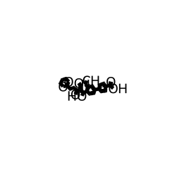 Cn1c(=O)c(C(=O)CCC2OCCCO2)c(O)c2ccc(-c3ccc(C(=O)O)cc3)cc21